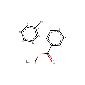 CCOC(=O)c1ccccc1.Cc1ccccc1